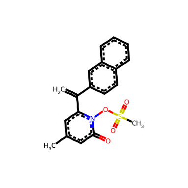 C=C(c1ccc2ccccc2c1)c1cc(C)cc(=O)n1OS(C)(=O)=O